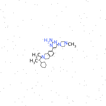 C=C(C(C)C1CCCCC1)N1CCc2ccc(-c3cc(N4CCN(C)CC4)nc(N)n3)cc2C1